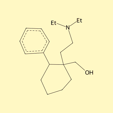 CCN(CC)CCC1(CO)CCCCC1c1ccccc1